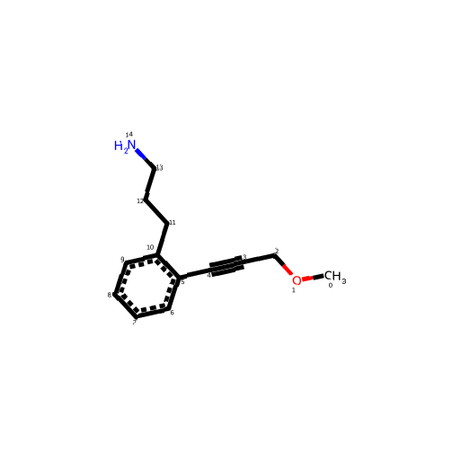 COCC#Cc1ccccc1CCCN